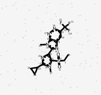 CCS(=O)(=O)c1c(-c2nc3cc(C(F)(F)F)nnc3n2C)nc(C2CC2)n1C